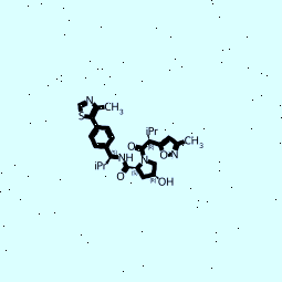 Cc1cc([C@H](C(=O)N2C[C@H](O)C[C@H]2C(=O)N[C@H](c2ccc(-c3scnc3C)cc2)C(C)C)C(C)C)on1